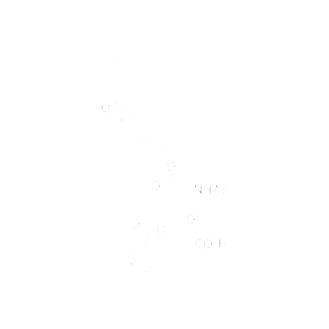 CC(=O)NC1C(Oc2ccc(/C=C/C(=O)c3ccccc3)cc2)OC2COC(c3ccco3)OC2C1OCC(=O)O